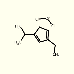 CCC1=C[CH]C(C(C)C)=C1.[Cl][Zr][Cl]